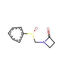 O=C1CCN1C[S@+]([O-])c1ccccc1